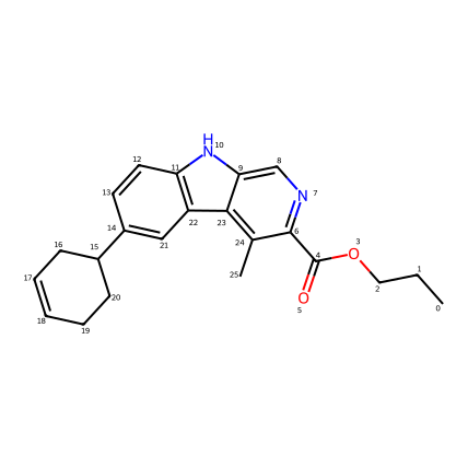 CCCOC(=O)c1ncc2[nH]c3ccc(C4CC=CCC4)cc3c2c1C